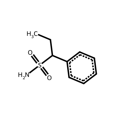 CCC(c1ccccc1)S(N)(=O)=O